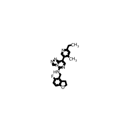 CCc1cc(C)c(-c2cnc(NCc3c(F)ccc4c3CCO4)n3cnnc23)cn1